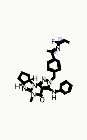 C/C=C(F)\N=C(/C)c1ccc(Cn2nc3c(c2Nc2ccccc2)C(=O)N(C)C2=N[C@@H]4CCC[C@@H]4N23)cc1